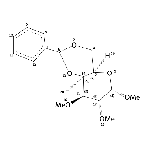 CO[C@H]1O[C@@H]2COC(c3ccccc3)O[C@@H]2[C@H](OC)[C@H]1OC